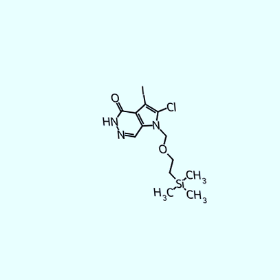 C[Si](C)(C)CCOCn1c(Cl)c(I)c2c(=O)[nH]ncc21